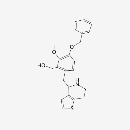 COc1c(OCc2ccccc2)ccc(CC2NCCc3sccc32)c1CO